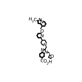 Cc1cc2c(COc3cccc(C4CCN(Cc5nc6ccc(C(=O)O)cc6n5C[C@@H]5CCO5)CC4)n3)cccn2n1